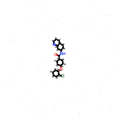 O=C(Nc1ccc2cccnc2c1)c1ccc(Oc2ccccc2Cl)cc1